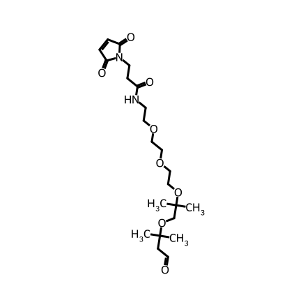 CC(C)(CC=O)OCC(C)(C)OCCOCCOCCNC(=O)CCN1C(=O)C=CC1=O